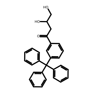 O=C(CC(O)CO)c1cccc(C(c2ccccc2)(c2ccccc2)c2ccccc2)c1